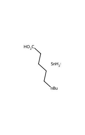 CCCCCCCCC(=O)O.[SnH2]